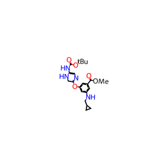 COC(=O)c1cc(NCC2CC2)cc(OC2=NC=C(NC(=O)OC(C)(C)C)NC2)c1